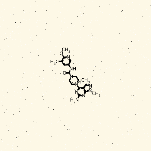 COc1ncc(NC(=O)N2CCN(c3nc(N)nc4c3cnn4C)[C@@H](C)C2)cc1C